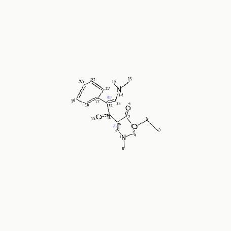 CCOC(=O)/C(=C\N(C)C)C(=O)/C(=C/N(C)C)c1ccccc1